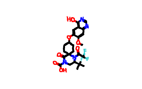 COc1cc2ncnc(O)c2cc1OC1CCC2(CC1)C(=O)N(C(=O)O)CC(C(C)(C)C)N2C(=O)C(F)(F)F